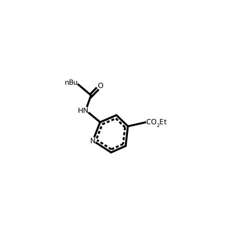 CCCCC(=O)Nc1cc(C(=O)OCC)ccn1